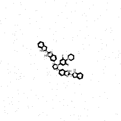 Fc1cc(N2[C@@H](c3ccc4nc([C@@H]5Cc6ccccc6N5)[nH]c4c3)CC[C@@H]2c2ccc3nc([C@@H]4Cc5ccccc5N4)[nH]c3c2)cc(F)c1N1CCCCC1